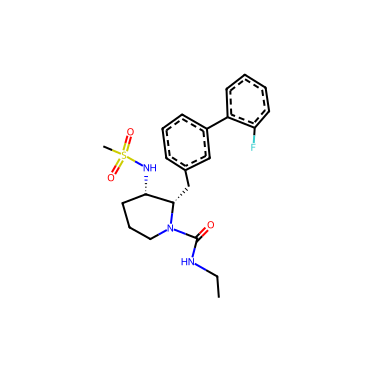 CCNC(=O)N1CCC[C@H](NS(C)(=O)=O)[C@@H]1Cc1cccc(-c2ccccc2F)c1